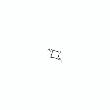 O1[SiH2]O[SiH2]1